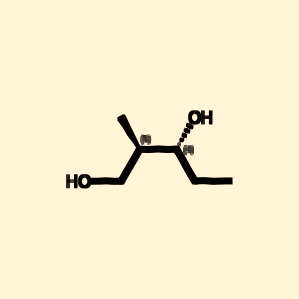 CC[C@@H](O)[C@H](C)CO